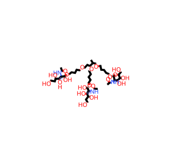 CC(=O)N/C(=C(/O)[C@@H](O)CCO)[C@@H](O)OCCCCCOCCC(OCCCCCO[C@H](O)/C(NC(C)=O)=C(\O)[C@@H](O)CCO)C(C)COCCCCCO[C@@H]1OC(CO)[C@H](O)C(O)C1NC(C)=O